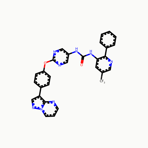 O=C(Nc1cnc(Oc2ccc(-c3cnn4cccnc34)cc2)nc1)Nc1cc(C(F)(F)F)cnc1-c1ccccc1